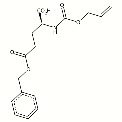 C=CCOC(=O)N[C@@H](CCC(=O)OCc1ccccc1)C(=O)O